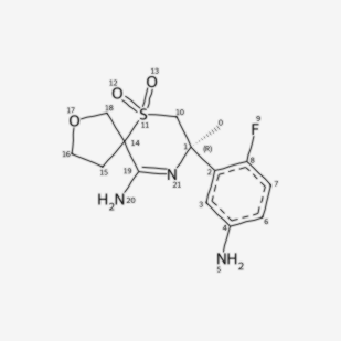 C[C@@]1(c2cc(N)ccc2F)CS(=O)(=O)C2(CCOC2)C(N)=N1